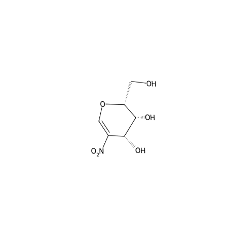 O=[N+]([O-])C1=CO[C@H](CO)[C@H](O)[C@@H]1O